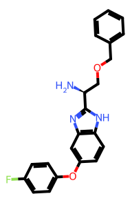 N[C@@H](COCc1ccccc1)c1nc2cc(Oc3ccc(F)cc3)ccc2[nH]1